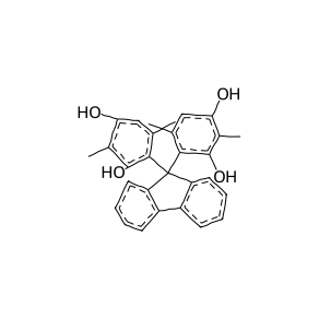 Cc1cc(O)c(C)c(O)c1C1(c2c(C)cc(O)c(C)c2O)c2ccccc2-c2ccccc21